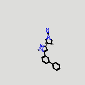 C[C@H]1CN(C#N)C[C@@H]1c1cc(-c2cccc(-c3ccccc3)c2)n(C)n1